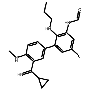 CCCNc1c(NC=O)cc(Cl)cc1-c1ccc(NC)c(C(=N)C2CC2)c1